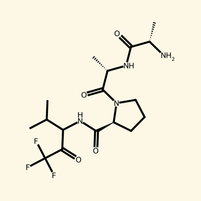 CC(C)C(NC(=O)[C@@H]1CCCN1C(=O)[C@H](C)NC(=O)[C@H](C)N)C(=O)C(F)(F)F